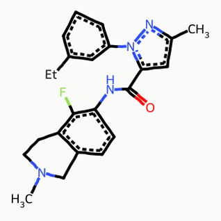 CCc1cccc(-n2nc(C)cc2C(=O)Nc2ccc3c(c2F)CCN(C)C3)c1